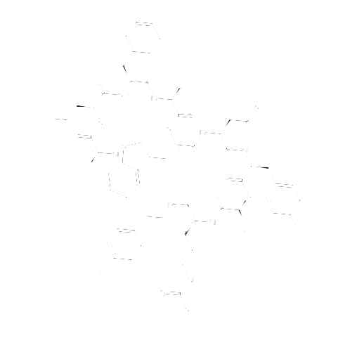 CC[C@H](C)[C@H](NC(=O)[C@H](Cc1ccc(O)cc1)NC(=O)[C@H](CC(N)=O)NC(=O)[C@H](Cc1c[nH]c2ccccc12)NC(=O)[C@@H](NC(=O)[C@H](Cc1ccccc1)NC(=O)[C@H](CCC(=O)O)NC(=O)[C@H](C)N)C(C)C)C(=O)N[C@@H](CCCNC(=N)N)C(=O)N[C@@H](Cc1ccc(O)cc1)C(=O)O